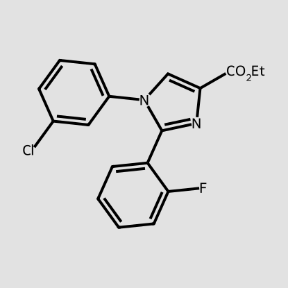 CCOC(=O)c1cn(-c2cccc(Cl)c2)c(-c2ccccc2F)n1